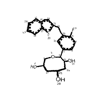 OC1COC(c2ccc(F)c(Cc3cc4ccccc4s3)c2)C(O)CC(O)C1